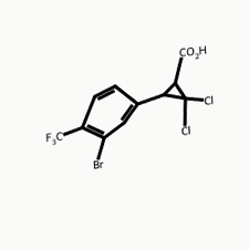 O=C(O)C1C(c2ccc(C(F)(F)F)c(Br)c2)C1(Cl)Cl